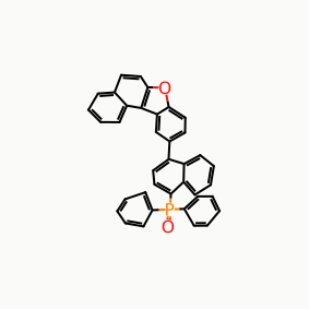 O=P(c1ccccc1)(c1ccccc1)c1ccc(-c2ccc3oc4ccc5ccccc5c4c3c2)c2ccccc12